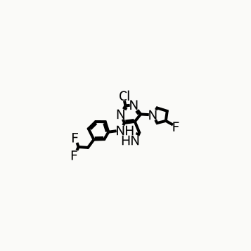 N=Cc1c(Nc2cccc(CC(F)F)c2)nc(Cl)nc1N1CCC(F)C1